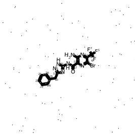 Nc1nc(C(F)(F)F)c(Br)nc1C(=O)Nc1nc(Cc2ccccc2)n[nH]1